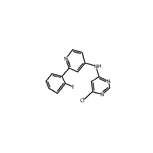 Fc1ccccc1-c1cc(Nc2cc(Cl)ncn2)ccn1